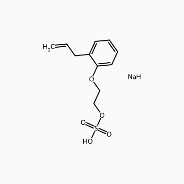 C=CCc1ccccc1OCCOS(=O)(=O)O.[NaH]